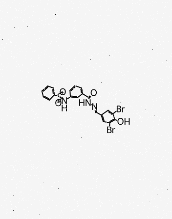 O=C(N/N=C/c1cc(Br)c(O)c(Br)c1)c1cccc(NS(=O)(=O)c2ccccc2)c1